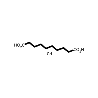 O=C(O)CCCCCCCCC(=O)O.[Cd]